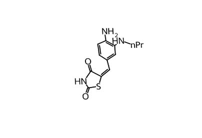 CCCNc1cc(/C=C2/SC(=O)NC2=O)ccc1N